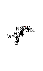 COc1cc(Nc2ncnc(-c3ccc(O[C@@H]4CCN(C(=O)OC(C)(C)C)C4)c(C#N)c3)n2)ccc1N1CCN(C2COC2)CC1